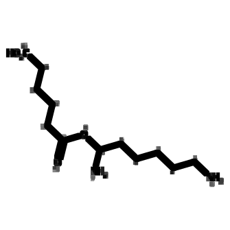 NCCCCCC(N)OC(=O)CCCCC(=O)O